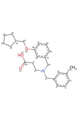 Cc1cccc(CN(CCC(=O)O)Cc2cccc(OCC3CCCC3)c2)c1